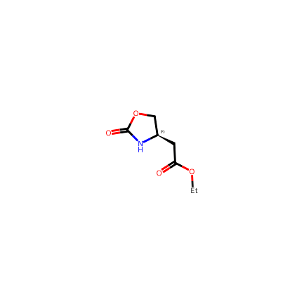 CCOC(=O)C[C@@H]1COC(=O)N1